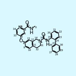 CNC(=O)c1cc(Oc2ccc3c(c2)CN(C(=O)Nc2ccccc2-c2ccccc2)CC3)ccn1